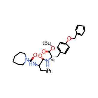 CC(C)CC(NC(=O)N1CCCCCC1)C(=O)N[C@@H](Cc1ccc(OCc2ccccc2)cc1)C(=O)OC(C)(C)C